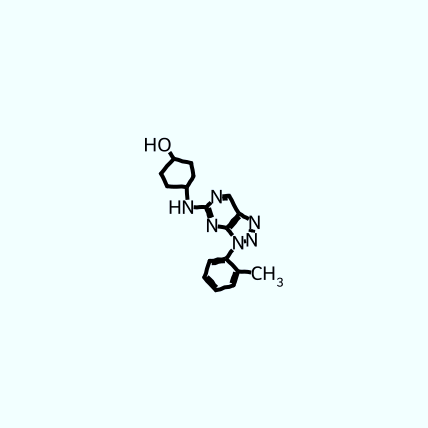 Cc1ccccc1-n1nnc2cnc(NC3CCC(O)CC3)nc21